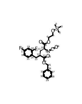 C[Si](C)(C)OCCOC(=O)[C@H](C[C@H](Cc1ccc(F)cc1F)C(=O)OCc1ccccc1)N=C=O